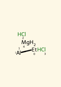 C[CH2][Al].Cl.Cl.[MgH2]